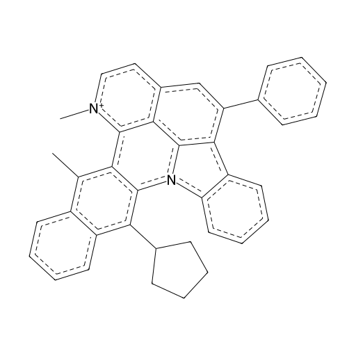 Cc1c2ccccc2c(C2CCCC2)c2c1c1c3c(cc[n+]1C)cc(-c1ccccc1)c1c4ccccc4n2c13